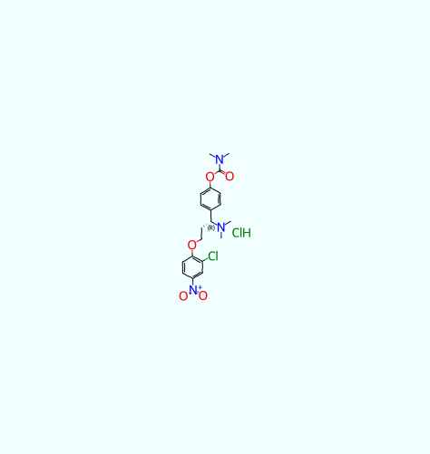 CN(C)C(=O)Oc1ccc([C@@H](CCOc2ccc([N+](=O)[O-])cc2Cl)N(C)C)cc1.Cl